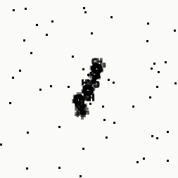 Cc1ccc2cc(C(=O)Nc3ccc(Nc4cccc5nc(C(F)(F)F)cn45)cc3)sc2c1